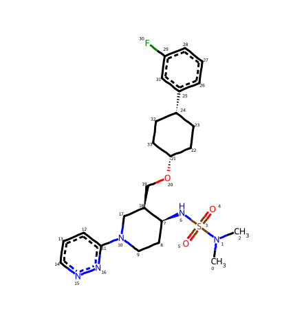 CN(C)S(=O)(=O)N[C@H]1CCN(c2cccnn2)C[C@H]1CO[C@H]1CC[C@@H](c2cccc(F)c2)CC1